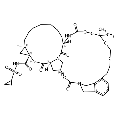 CC1(C)CCCCCc2cccc3c2CN(C3)C(=O)O[C@@H]2C[C@H]3C(=O)N[C@]4(C(=O)NS(=O)(=O)C5CC5)C[C@H]4CCCCCCC[C@H](NC(=O)OC1)C(=O)N3C2